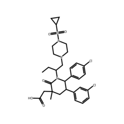 CCC(CN1CCN(S(=O)(=O)C2CC2)CC1)N1C(=O)C(C)(CC(=O)O)CC(c2cccc(Cl)c2)C1c1ccc(Cl)cc1